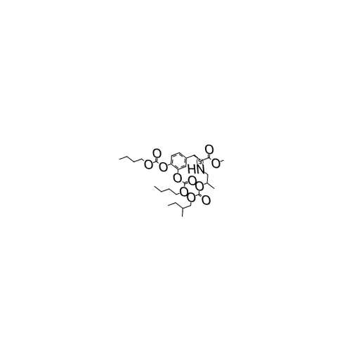 CCCCOC(=O)Oc1ccc(C[C@H](NCC(C)OC(=O)OCC(C)CC)C(=O)OC)cc1OC(=O)OCCCC